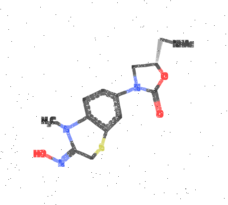 CC(=O)NC[C@H]1CN(c2ccc3c(c2)SCC(=NO)N3C)C(=O)O1